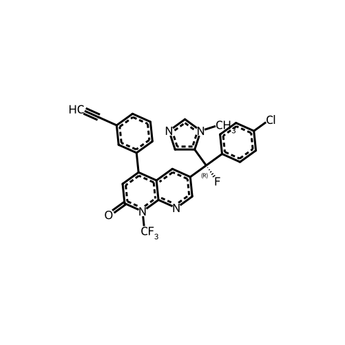 C#Cc1cccc(-c2cc(=O)n(C(F)(F)F)c3ncc([C@](F)(c4ccc(Cl)cc4)c4cncn4C)cc23)c1